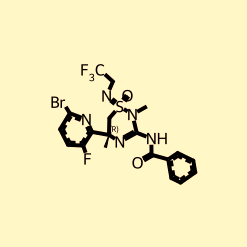 CN1C(NC(=O)c2ccccc2)=N[C@](C)(c2nc(Br)ccc2F)CS1(=O)=NCC(F)(F)F